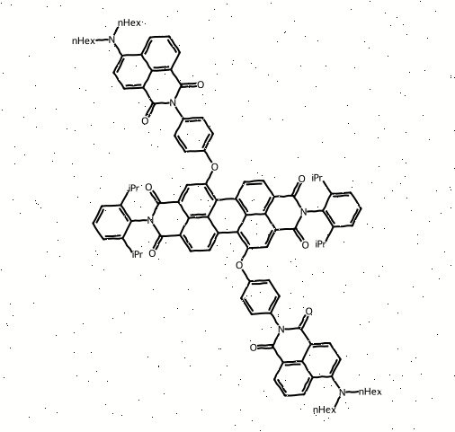 CCCCCCN(CCCCCC)c1ccc2c3c(cccc13)C(=O)N(c1ccc(Oc3cc4c5c(ccc6c7c(Oc8ccc(N9C(=O)c%10cccc%11c(N(CCCCCC)CCCCCC)ccc(c%10%11)C9=O)cc8)cc8c9c(ccc(c3c56)c97)C(=O)N(c3c(C(C)C)cccc3C(C)C)C8=O)C(=O)N(c3c(C(C)C)cccc3C(C)C)C4=O)cc1)C2=O